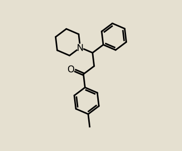 Cc1ccc(C(=O)CC(c2ccccc2)N2CCCCC2)cc1